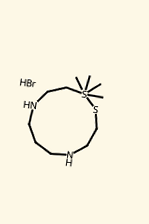 Br.CS1(C)(C)(C)CCNCCCNCCS1